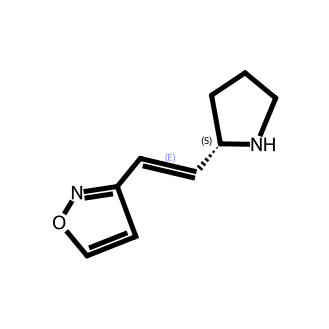 C(=C\[C@@H]1CCCN1)/c1ccon1